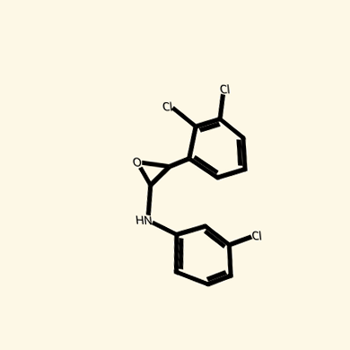 Clc1cccc(NC2OC2c2cccc(Cl)c2Cl)c1